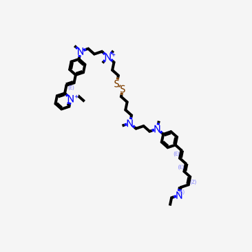 CC/N=C/C=C\C=C\C=C\c1ccc(N(C)CCCN(C)CCCCSSCCC[N+](C)(C)CCCN(C)c2ccc(/C=C/c3cccc[n+]3CC)cc2)cc1